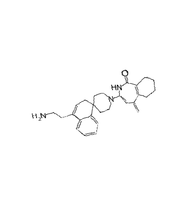 C=C1C=C(N2CCC3(CC=C(CCN)c4ccccc43)CC2)NC(=O)C2=C1CCCC2